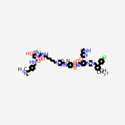 Cc1ncsc1-c1ccc(CNC(=O)[C@@H]2C[C@@H](O)CN2C(=O)[C@@H](NC(=O)CCCCCCN2CCC(CNc3ccc(S(=O)(=O)NC(=O)c4ccc(N5CCN(CC6=C(c7ccc(Cl)cc7)CC(C)(C)CC6)CC5)cc4Oc4cnc5[nH]ccc5c4)cc3[N+](=O)[O-])CC2)C(C)(C)C)cc1